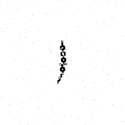 N#Cc1ccc(N2CCN(c3ccc(NC(=O)c4ccc(OCCOCCF)cc4)cc3)CC2)nc1